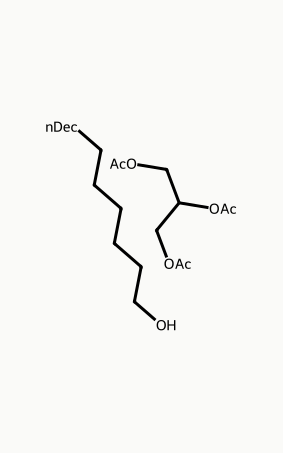 CC(=O)OCC(COC(C)=O)OC(C)=O.CCCCCCCCCCCCCCCCO